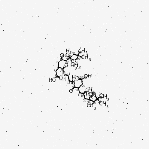 C=C(CC(CC(=O)O)C(=O)NCCNC(=O)C(CC(=C)CC(C)(C)CC(C)(C)C)CC(=O)O)CC(C)(C)CC(C)(C)C